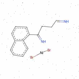 N=CCCC(=N)c1cccc2ccccc12.[Br][Ni][Br]